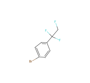 FCC(F)(F)c1c[c]c(Br)cc1